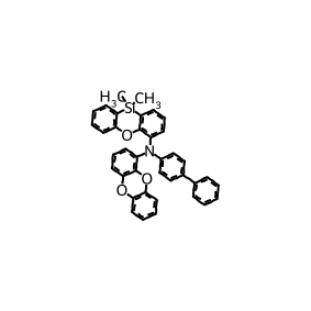 C[Si]1(C)c2ccccc2Oc2c(N(c3ccc(-c4ccccc4)cc3)c3cccc4c3Oc3ccccc3O4)cccc21